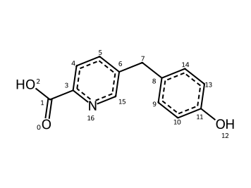 O=C(O)c1ccc(Cc2ccc(O)cc2)cn1